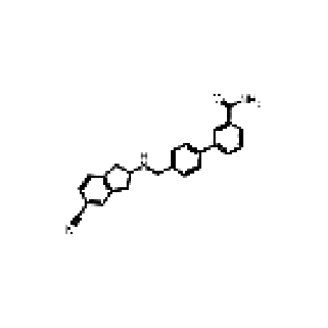 N#Cc1ccc2c(c1)CC(NCc1ccc(-c3cccc(C(N)=O)c3)cc1)C2